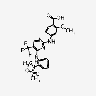 COc1cc(Nc2ncc(C(F)(F)F)c(Nc3ccccc3N(C)S(C)(=O)=O)n2)ccc1C(=O)O